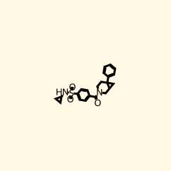 O=C(c1ccc(S(=O)(=O)NC2CC2)cc1)N1CCC2(c3ccccc3)CC2C1